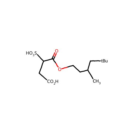 CC(CCOC(=O)C(CC(=O)O)S(=O)(=O)O)CC(C)(C)C